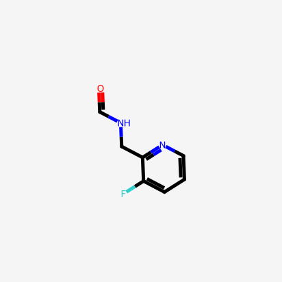 O=CNCc1ncccc1F